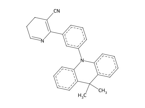 CC1(C)c2ccccc2N(c2cccc(C3=C(C#N)CCC=N3)c2)c2ccccc21